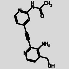 CC(=O)Nc1cc(C#Cc2nccc(CO)c2N)ccn1